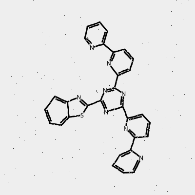 c1ccc(-c2cccc(-c3nc(-c4cccc(-c5ccccn5)n4)nc(-c4nc5ccccc5s4)n3)n2)nc1